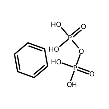 O=P(O)(O)OP(=O)(O)O.c1ccccc1